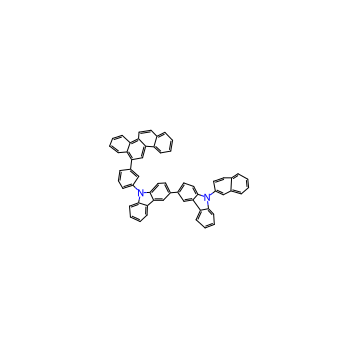 c1cc(-c2cc3c4ccccc4ccc3c3ccccc23)cc(-n2c3ccccc3c3cc(-c4ccc5c(c4)c4ccccc4n5-c4ccc5ccccc5c4)ccc32)c1